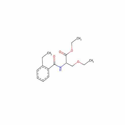 CCOCC(NC(=O)c1ccccc1CC)C(=O)OCC